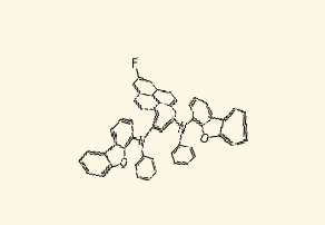 Fc1cc2ccc3c(N(c4ccccc4)c4cccc5c4oc4ccccc45)cc(N(c4ccccc4)c4cccc5c4oc4ccccc45)c4ccc(c1)c2c34